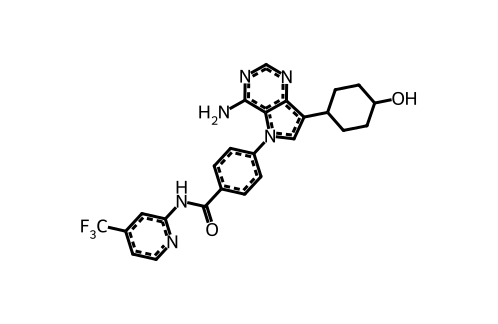 Nc1ncnc2c(C3CCC(O)CC3)cn(-c3ccc(C(=O)Nc4cc(C(F)(F)F)ccn4)cc3)c12